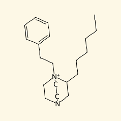 ICCCCCC1CN2CC[N+]1(CCc1ccccc1)CC2